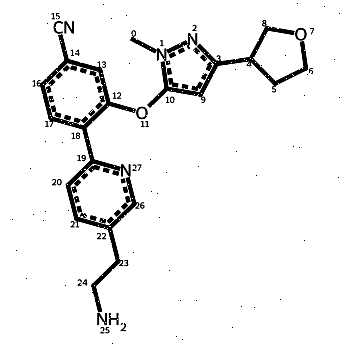 Cn1nc(C2CCOC2)cc1Oc1cc(C#N)ccc1-c1ccc(CCN)cn1